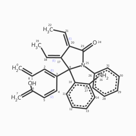 C=C/C=C(\C=C/C(=C)O)C1(c2ccccc2N)C(=C/C)/C(=C\C)C(=O)N1c1ccccc1